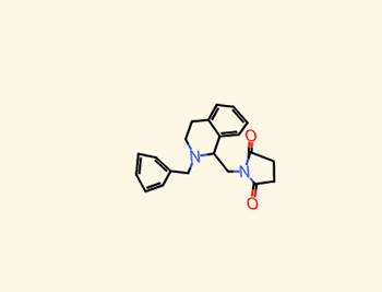 O=C1CCC(=O)N1CC1c2ccccc2CCN1Cc1ccccc1